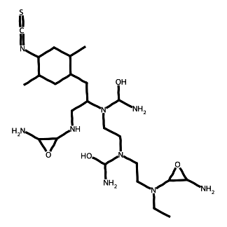 CCN(CCN(CCN(C(N)O)C(CNC1OC1N)CC1CC(C)C(N=C=S)CC1C)C(N)O)C1OC1N